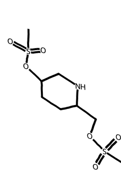 CS(=O)(=O)OCC1CCC(OS(C)(=O)=O)CN1